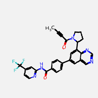 CC#CC(=O)N1CCCC1c1cc(-c2ccc(C(=O)Nc3cc(C(F)(F)F)ccn3)cc2)cc2cncnc12